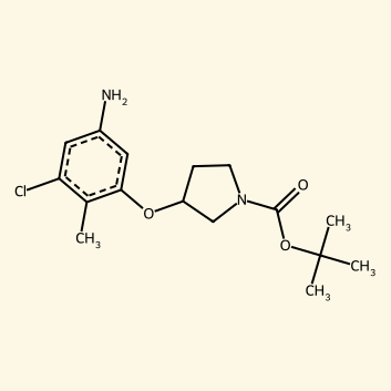 Cc1c(Cl)cc(N)cc1OC1CCN(C(=O)OC(C)(C)C)C1